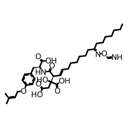 CCCCCCCC(CCCCCC/C=C/[C@H](C(=O)N[C@@H](Cc1ccc(OCC=C(C)C)cc1)C(=O)O)C(O)(CC(=O)O)C(=O)O)=NOC=N